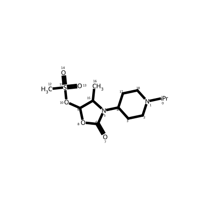 CC(C)N1CCC(N2C(=O)OC(OS(C)(=O)=O)C2C)CC1